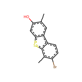 Cc1cc2c(cc1O)sc1c(C)c(Br)ccc12